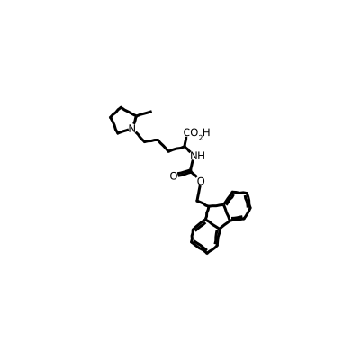 CC1CCCN1CCCC(NC(=O)OCC1c2ccccc2-c2ccccc21)C(=O)O